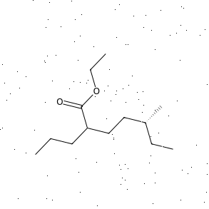 CCCC(CC[C@H](C)CC)C(=O)OCC